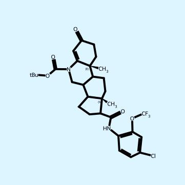 CC(C)(C)OC(=O)N1CC2C3CCC(C(=O)Nc4ccc(Cl)cc4OC(F)(F)F)[C@@]3(C)CCC2[C@@]2(C)CCC(=O)C=C12